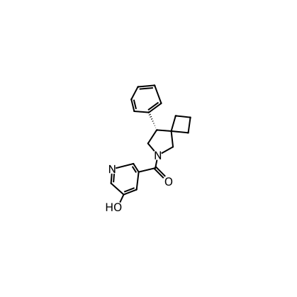 O=C(c1cncc(O)c1)N1C[C@H](c2ccccc2)C2(CCC2)C1